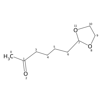 CC(=O)CCCCC1OCCO1